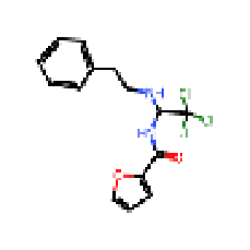 O=C(NC(NCCc1ccccc1)C(Cl)(Cl)Cl)c1ccco1